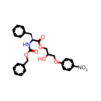 O=C(N[C@@H](Cc1ccccc1)C(=O)OCC(O)COc1ccc([N+](=O)[O-])cc1)OCc1ccccc1